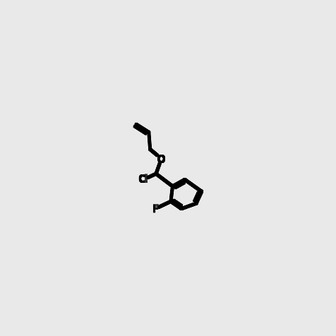 C=CCOC(Cl)c1ccccc1F